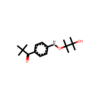 CC(C)(C)C(=O)c1ccc(BOC(C)(C)C(C)(C)O)cc1